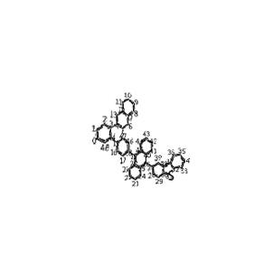 c1ccc(-c2ccc3ccccc3c2)c(-c2ccc(-c3c4ccccc4c(-c4ccc5sc6ccccc6c5c4)c4ccccc34)cc2)c1